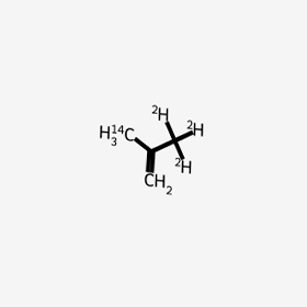 [2H]C([2H])([2H])C(=C)[14CH3]